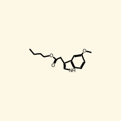 CCCCOC(=O)Cc1c[nH]c2ccc(OC)cc12